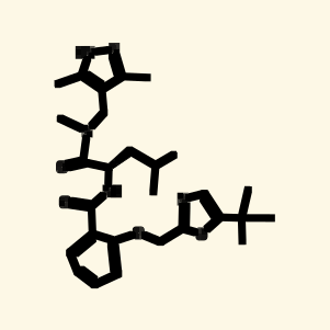 Cc1n[nH]c(C)c1CN(C)C(=O)[C@@H](CC(C)C)NC(=O)c1ccccc1OCc1ncc(C(C)(C)C)o1